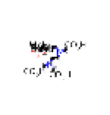 O.O=C(O)CN(CCN(CC(=O)O)CC(=O)O)CC(=O)O.[MgH2].[NaH].[NaH]